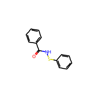 O=C(NSc1ccccc1)c1ccccc1